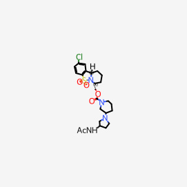 CC(=O)NC1CCN(C2CCCN(C(=O)OC[C@H]3CCC[C@H]4c5cc(Cl)ccc5S(=O)(=O)N34)C2)C1